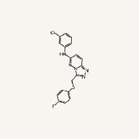 Fc1ccc(SCc2nnc3ccc(Nc4cccc(Cl)c4)nn23)cc1